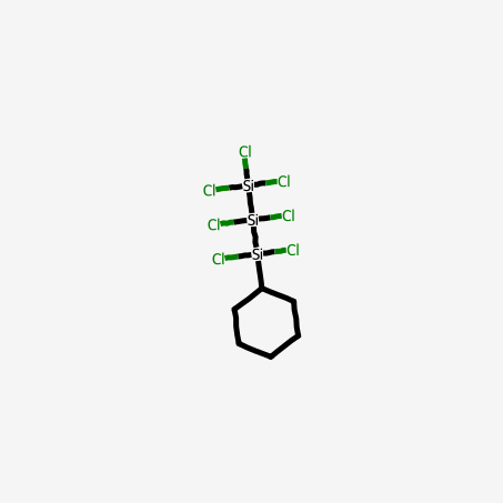 Cl[Si](Cl)(Cl)[Si](Cl)(Cl)[Si](Cl)(Cl)C1CCCCC1